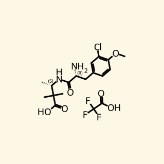 COc1ccc(C[C@@H](N)C(=O)N[C@@H](C)C(C)(C)C(=O)O)cc1Cl.O=C(O)C(F)(F)F